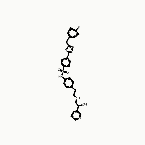 O=S(=O)(Nc1ccc(CCNCC(O)c2cccnc2)cc1)c1ccc(-c2nc(Cc3ccc(F)c(F)c3)no2)cc1